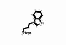 CCCCCCCCCC[n+]1c[nH]c2ccccc21